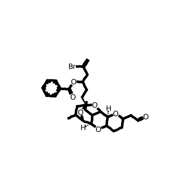 C=C(Br)CC(CC[C@]12CC(C)C(O1)[C@@H]1OC3CCC(CC=O)O[C@@H]3C(O2)C1CC)OC(=O)c1ccccc1